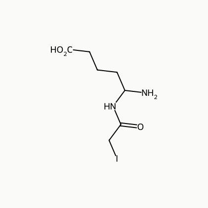 NC(CCCC(=O)O)NC(=O)CI